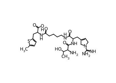 Cc1ccc(CC(NC(=O)CCCCNC(=O)C(CC2=CCN(C(=N)N)C2)NC(=O)C(N)C(C)O)C(=O)O)s1